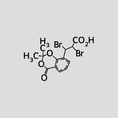 CC1(C)OC(=O)c2cccc(C(Br)C(Br)C(=O)O)c2O1